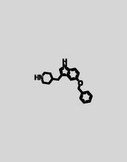 c1ccc(COc2ccc3[nH]cc(CC4CCNCC4)c3c2)cc1